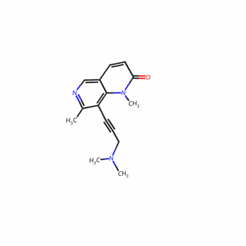 Cc1ncc2ccc(=O)n(C)c2c1C#CCN(C)C